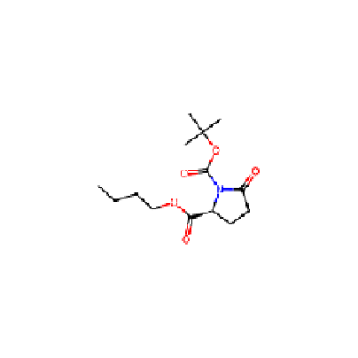 CCCCOC(=O)[C@@H]1CCC(=O)N1C(=O)OC(C)(C)C